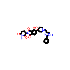 O=C1CCC(N2C(=O)c3ccc(C4(O)CCN(Cc5c[nH]c(-c6ccccc6)n5)CC4)cc3C2=O)C(=O)N1